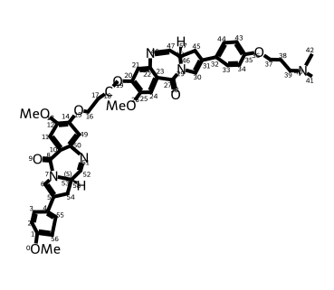 COc1ccc(C2=CN3C(=O)c4cc(OC)c(OCCCOc5cc6c(cc5OC)C(=O)N5C=C(c7ccc(OCCCN(C)C)cc7)C[C@H]5C=N6)cc4N=C[C@@H]3C2)cc1